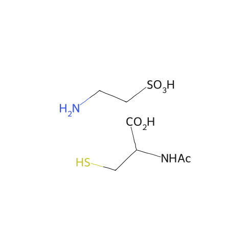 CC(=O)NC(CS)C(=O)O.NCCS(=O)(=O)O